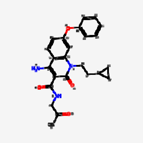 Nc1c(C(=O)NCC(=O)N=O)c(=O)n(CCC2CC2)c2cc(Oc3ccccc3)ccc12